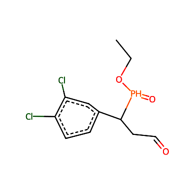 CCO[PH](=O)C(CC=O)c1ccc(Cl)c(Cl)c1